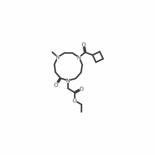 CCOC(=O)CN1CCCN(C(=O)C2CCC2)CCN(C)CCC1=O